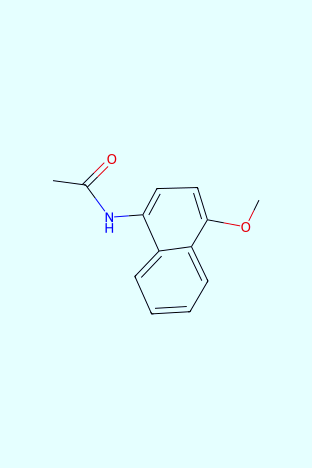 COc1ccc(NC(C)=O)c2ccccc12